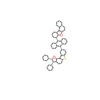 c1ccc(-c2oc3c(ccc4sc5ccc(-c6c7ccccc7c(-c7cccc8c7oc7ccc9ccccc9c78)c7ccccc67)cc5c43)c2-c2ccccc2)cc1